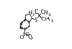 CC(C)(C)SC1CCc2ccc([N+](=O)[O-])cc21